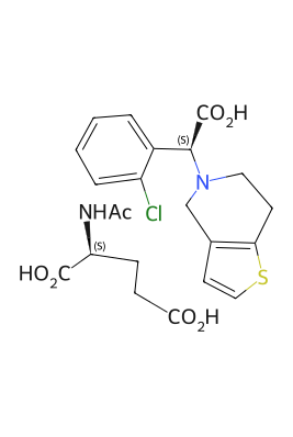 CC(=O)N[C@@H](CCC(=O)O)C(=O)O.O=C(O)[C@H](c1ccccc1Cl)N1CCc2sccc2C1